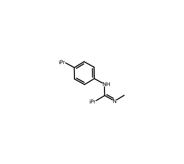 C/N=C(\Nc1ccc(C(C)C)cc1)C(C)C